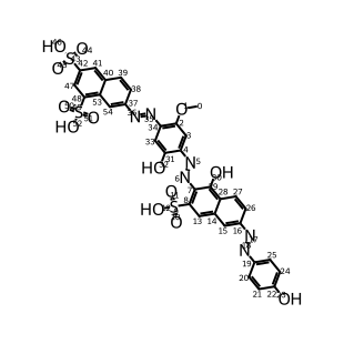 COc1cc(N=Nc2c(S(=O)(=O)O)cc3cc(N=Nc4ccc(O)cc4)ccc3c2O)c(O)cc1N=Nc1ccc2cc(S(=O)(=O)O)cc(S(=O)(=O)O)c2c1